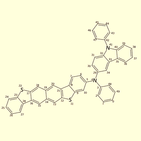 c1ccc(N(c2ccc3c(c2)sc2cc4cc5c(cc4cc23)sc2ccccc25)c2ccc3c(c2)c2ccccc2n3-c2ccccc2)cc1